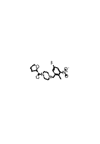 Cc1c(CN2CCN(C(=O)C3CCCO3)CC2)cc(F)cc1[N+](=O)[O-]